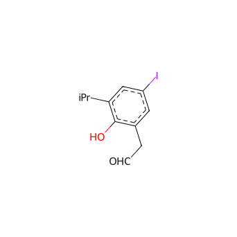 CC(C)c1cc(I)cc(CC=O)c1O